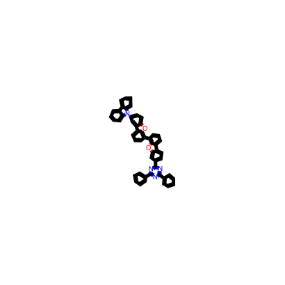 c1ccc(-c2nc(-c3ccccc3)nc(-c3ccc4c(c3)oc3c(-c5cccc6c5oc5ccc(-n7c8ccccc8c8ccccc87)cc56)cccc34)n2)cc1